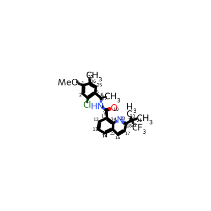 COc1cc(Cl)c([C@@H](C)NC(=O)c2cccc3ccc(C(C)(C)C(F)(F)F)nc23)cc1C